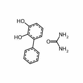 NC(N)=O.Oc1cccc(-c2ccccc2)c1O